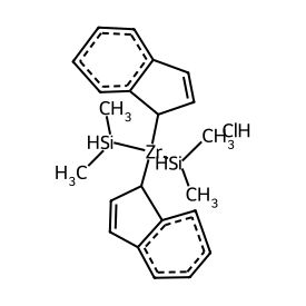 C[SiH](C)[Zr]([CH]1C=Cc2ccccc21)([CH]1C=Cc2ccccc21)[SiH](C)C.Cl